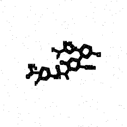 COc1cn(C(C)C(=O)Nc2ccc(C(N)=O)c(F)c2)c(=O)cc1-c1cc(Cl)ccc1-n1cc(C(F)F)nn1